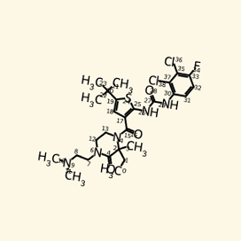 CCC1(C)C(=O)N(CCN(C)C)CCN1C(=O)c1cc(C(C)(C)C)sc1NC(=O)Nc1ccc(F)c(Cl)c1Cl